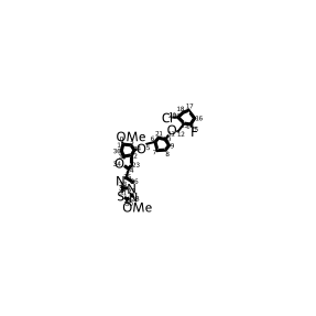 COc1cc(OCc2cccc(OCc3c(F)cccc3Cl)c2)c2cc(-c3cn4nc(OC)sc4n3)oc2c1